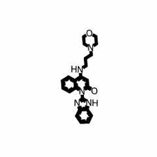 O=c1cc(NCCCN2CCOCC2)c2ccccc2n1-c1nc2ccccc2[nH]1